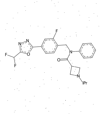 CC(C)N1CC(C(=O)N(Cc2ccc(-c3nnc(C(F)F)o3)cc2F)c2ccccc2)C1